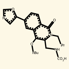 CCCCOc1c(CNC(=O)O)n(CC(C)C)c(=O)c2ccc(-c3cnco3)cc12